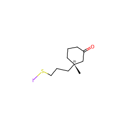 C[C@@]1(CCCSI)CCCC(=O)C1